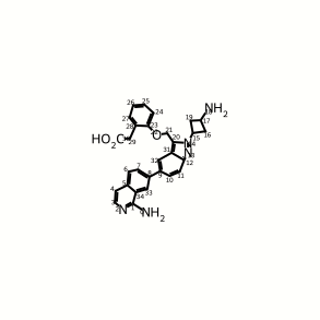 Nc1nccc2ccc(-c3ccc4nn(C5CC(N)C5)c(COc5ccccc5CC(=O)O)c4c3)cc12